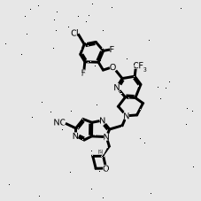 N#Cc1cc2nc(CN3CCc4cc(C(F)(F)F)c(OCc5c(F)cc(Cl)cc5F)nc4C3)n(C[C@@H]3CCO3)c2cn1